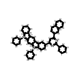 c1ccc(-c2nc(-c3ccc4ccccc4c3)cc(-c3ccc4c(c3)c3cc5c6ccccc6n(-c6ccccc6)c5cc3n4-c3ccccc3)n2)cc1